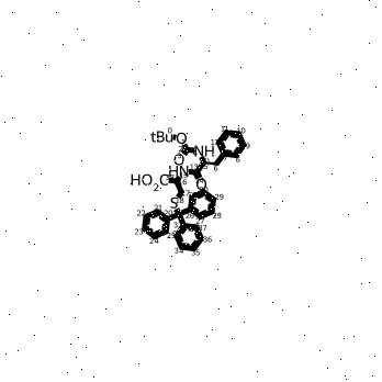 CC(C)(C)OC(=O)N[C@@H](Cc1ccccc1)C(=O)NC(CSC(c1ccccc1)(c1ccccc1)c1ccccc1)C(=O)O